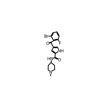 CN1CCC(NC(=O)c2cc(C(=O)c3c(F)cccc3Br)c[nH]2)CC1